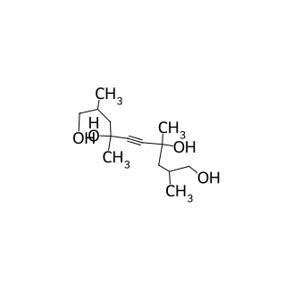 CC(CO)CC(C)(O)C#CC(C)(O)CC(C)CO